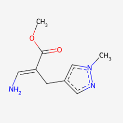 COC(=O)/C(=C/N)Cc1cnn(C)c1